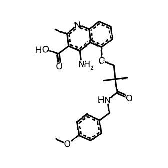 COc1ccc(CNC(=O)C(C)(C)COc2cccc3nc(C)c(C(=O)O)c(N)c23)cc1